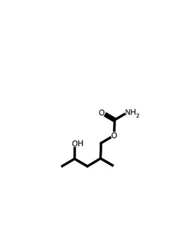 CC(O)CC(C)COC(N)=O